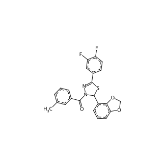 Cc1cccc(C(=O)N2N=C(c3ccc(F)c(F)c3)SC2c2cccc3c2OCO3)c1